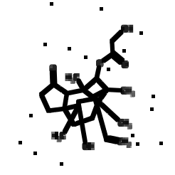 C=CC1(C)CC2(C)C3CCC4(CCC(=O)C4C3(C)C2OC(=O)CO)C(C)C1O